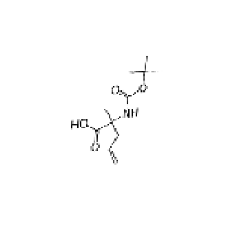 C=CCC(C)(NC(=O)OC(C)(C)C)C(=O)O